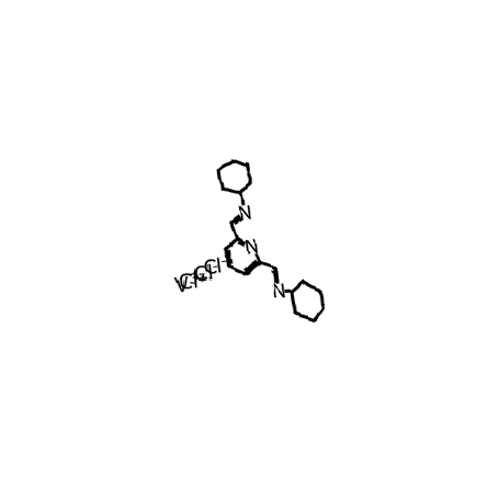 C(=NC1CCCCC1)c1cccc(C=NC2CCCCC2)n1.[Cl-].[Cl-].[Cl-].[V+3]